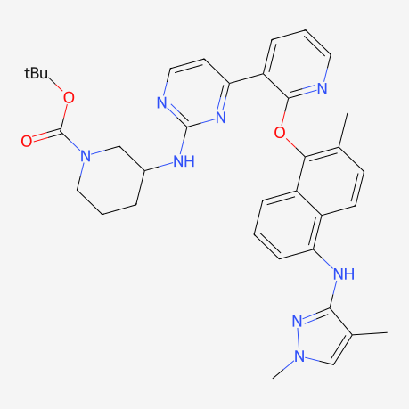 Cc1cn(C)nc1Nc1cccc2c(Oc3ncccc3-c3ccnc(NC4CCCN(C(=O)OC(C)(C)C)C4)n3)c(C)ccc12